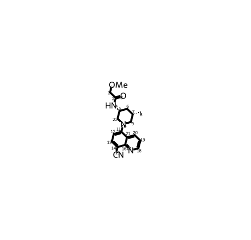 COCC(=O)N[C@@H]1C[C@H](C)CN(c2ccc(C#N)c3ncccc23)C1